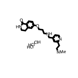 CNCCc1cc(CNCCCOc2ccc3c(c2)CCNC3=O)ccn1.Cl.Cl.Cl